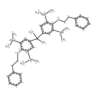 C[SiH](C)c1cc(C(C)(C)c2cc([SiH](C)C)c(OCCc3ccccc3)c([SiH](C)C)c2)cc([SiH](C)C)c1OCCc1ccccc1